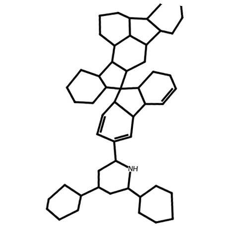 C1=CC2C3C=C(C4CC(C5CCCCC5)CC(C5CCCCC5)N4)C=CC3C3(C2CC1)C1CCCCC1C1C2CCCC4C5CCCCC5C(CC13)C42